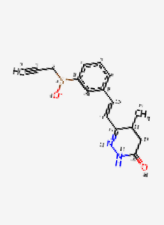 C#CC[S+]([O-])c1cccc(C=CC2=NNC(=O)CC2C)c1